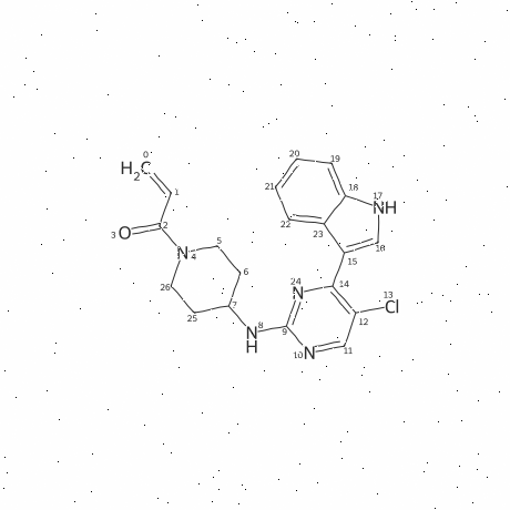 C=CC(=O)N1CCC(Nc2ncc(Cl)c(-c3c[nH]c4ccccc34)n2)CC1